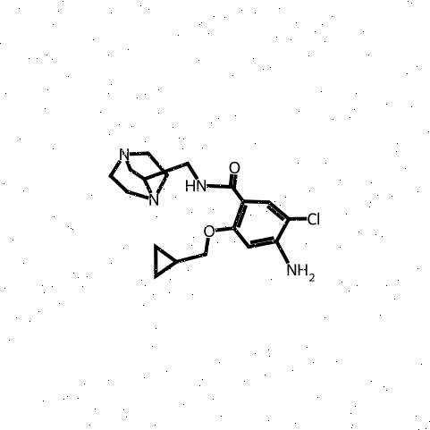 Nc1cc(OCC2CC2)c(C(=O)NCC2CN3CCN2CC3)cc1Cl